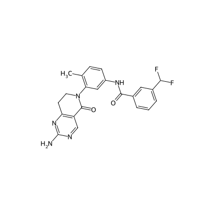 Cc1ccc(NC(=O)c2cccc(C(F)F)c2)cc1N1CCc2nc(N)ncc2C1=O